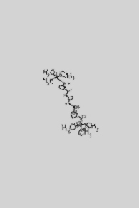 CC(C)(C)COCCOCCOCC(C)(C)C